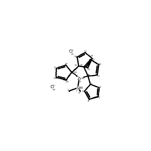 C[SiH](C)[Zr+2]([C]1(C2C=CC=C2)C=CC=C1)[C]1(C2C=CC=C2)C=CC=C1.[Cl-].[Cl-]